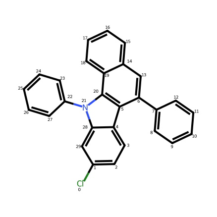 Clc1ccc2c3c(-c4ccccc4)cc4ccccc4c3n(-c3ccccc3)c2c1